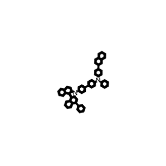 c1ccc(-c2cc3c(c4ccccc24)c2c4ccccc4ccc2n3-c2ccc(-c3ccc(N(c4ccccc4)c4ccc(-c5ccc6ccccc6c5)cc4)cc3)cc2)cc1